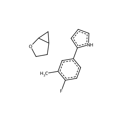 C1CC2CC2O1.Cc1cc(-c2ccc[nH]2)ccc1F